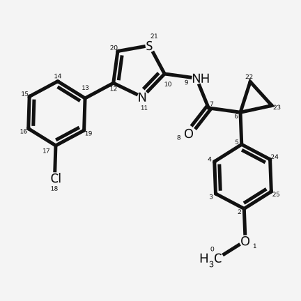 COc1ccc(C2(C(=O)Nc3nc(-c4cccc(Cl)c4)cs3)CC2)cc1